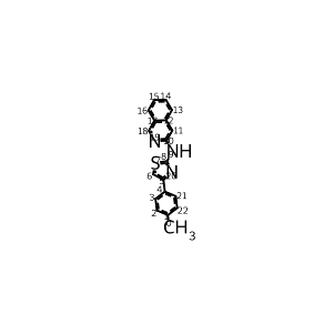 Cc1ccc(-c2csc(Nc3cc4ccccc4cn3)n2)cc1